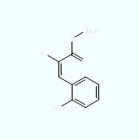 CCCCCCCCCOC(=O)/C(=C\c1ccccc1C#N)C(C)=O